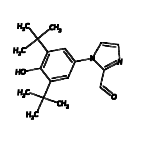 CC(C)(C)c1cc(-n2ccnc2C=O)cc(C(C)(C)C)c1O